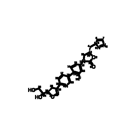 O=C1O[C@@H](Cn2ccnn2)CN1c1ccc(-c2ccc(C3=NO[C@@H]([C@@H](O)CO)C3)nc2)c(F)c1